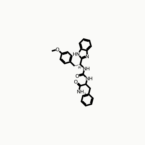 COc1ccc(C[C@@H](NC(=O)NC(Cc2ccccc2)C(N)=O)c2nc3ccccc3[nH]2)cc1